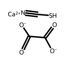 N#CS.O=C([O-])C(=O)[O-].[Ca+2]